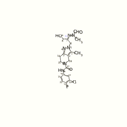 Cc1c2c(nn1C/C(CO)=N\N(C)C=O)CCN(C(=O)Nc1ccc(F)c(Cl)c1)C2